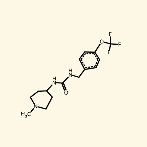 CN1CCC(NC(=O)NCc2ccc(OC(F)(F)F)cc2)CC1